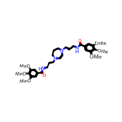 COc1cc(C(=O)NCCCN2CCCN(CCCNC(=O)c3cc(OC)c(OC)c(OC)c3)CC2)cc(OC)c1OC